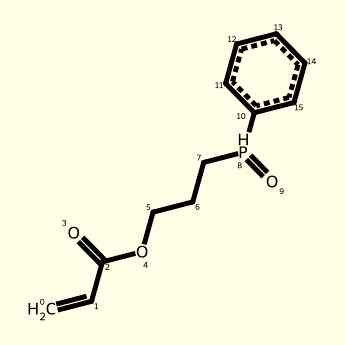 C=CC(=O)OCCC[PH](=O)c1ccccc1